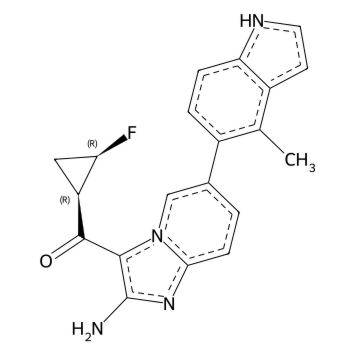 Cc1c(-c2ccc3nc(N)c(C(=O)[C@H]4C[C@H]4F)n3c2)ccc2[nH]ccc12